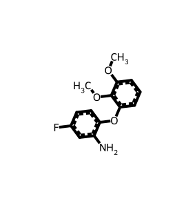 COc1cccc(Oc2ccc(F)cc2N)c1OC